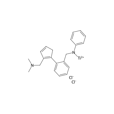 CN(C)CC1=C(c2ccccc2C[N]([Ti+2])c2ccccc2)CC=C1.[Cl-].[Cl-]